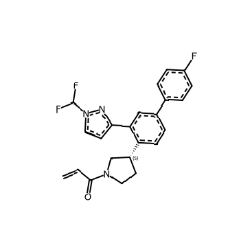 C=CC(=O)N1CC[C@@H](c2ccc(-c3ccc(F)cc3)cc2-c2ccn(C(F)F)n2)C1